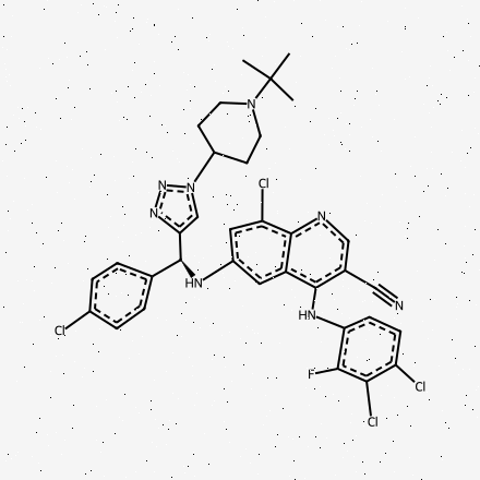 CC(C)(C)N1CCC(n2cc([C@@H](Nc3cc(Cl)c4ncc(C#N)c(Nc5ccc(Cl)c(Cl)c5F)c4c3)c3ccc(Cl)cc3)nn2)CC1